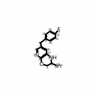 CC(C)C1COc2ncc(Cc3ccc(F)cc3)cc2N1